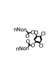 CCCCCCCCCC(=O)Cl.CCCCCCCCCC(=O)Oc1cc(Cl)c(Cl)cc1Cl